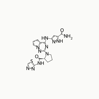 NC(=O)c1cc(Nc2nc(N3CCC[C@H]3C(=O)Nc3nncs3)nn3cccc23)n[nH]1